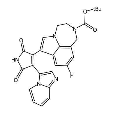 CC(C)(C)OC(=O)N1CCn2cc(C3=C(c4cnc5ccccn45)C(=O)NC3=O)c3cc(F)cc(c32)C1